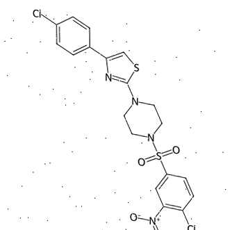 O=[N+]([O-])c1cc(S(=O)(=O)N2CCN(c3nc(-c4ccc(Cl)cc4)cs3)CC2)ccc1Cl